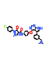 CN(C)Cc1cccc(-c2c[nH]c3ncnc(Oc4ccc(NC(=O)c5cn(C)n(-c6ccc(F)cc6)c5=O)cc4)c23)c1